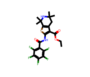 CCOC(=O)c1c(NC(=O)c2c(F)c(F)c(F)c(F)c2F)sc2c1CC(C)(C)NC2(C)C